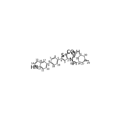 CC(C)N(c1cc(-c2ccc(-c3ccc4[nH]ccc4c3)cc2)sc1C(=O)O)C(=O)[C@H]1CC[C@H](C)CC1